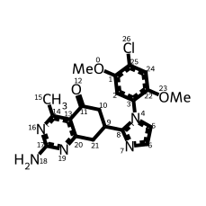 COc1cc(-n2ccnc2C2CC(=O)c3c(C)nc(N)nc3C2)c(OC)cc1Cl